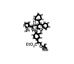 CCOC(=O)C(CO[Si](C)(C)C(C)(C)C)c1ccc(NC(=O)C(NC(=O)c2ccnn2C(C)C)C(C2CCCCC2)C2CCCCC2)c(F)c1